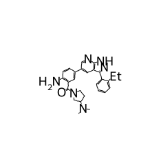 CCc1ccccc1-c1n[nH]c2ncc(-c3ccc(N)c(C(=O)N4CCC(N(C)C)C4)c3)cc12